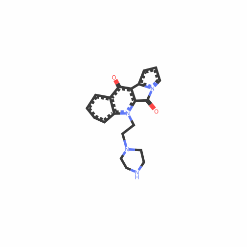 O=C1c2c(c(=O)c3ccccc3n2CCN2CCNCC2)-c2cccn21